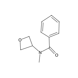 CN(C(=O)c1ccccc1)C1COC1